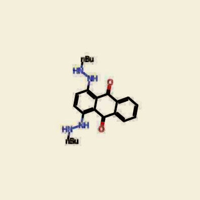 CCCCNNc1ccc(NNCCCC)c2c1C(=O)c1ccccc1C2=O